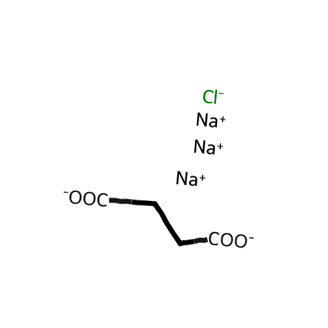 O=C([O-])CCC(=O)[O-].[Cl-].[Na+].[Na+].[Na+]